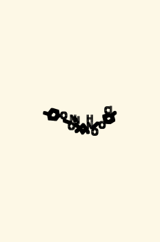 Cc1ccc(OCc2nnc(C3(C)CC(C)(NC(=O)COc4ccc(C)c(Cl)c4)C3)o2)cc1